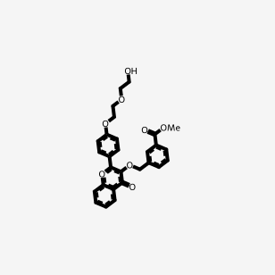 COC(=O)c1cccc(COc2c(-c3ccc(OCCOCCO)cc3)oc3ccccc3c2=O)c1